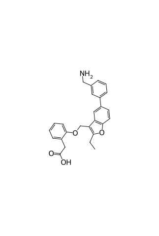 CCc1oc2ccc(-c3cccc(CN)c3)cc2c1COc1ccccc1CC(=O)O